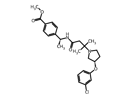 COC(=O)c1ccc([C@H](C)NC(=O)CC(C)(C)N2CC[C@@H](Oc3cccc(Cl)c3)C2)cc1